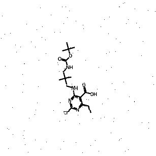 CCc1nc(Cl)nc(NCC(C)(C)CNC(=O)OC(C)(C)C)c1C(=O)O